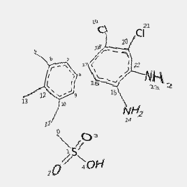 CS(=O)(=O)O.Cc1cccc(C)c1C.Nc1ccc(Cl)c(Cl)c1N